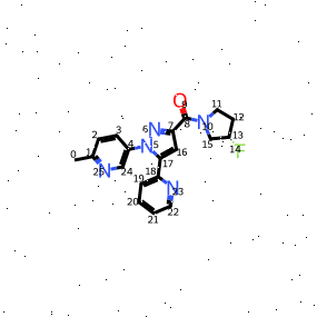 Cc1ccc(-n2nc(C(=O)N3CC[C@H](F)C3)cc2-c2ccccn2)cn1